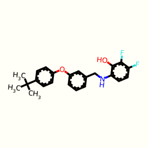 CC(C)(C)c1ccc(Oc2cccc(CNc3ccc(F)c(F)c3O)c2)cc1